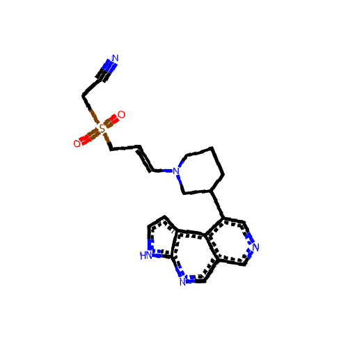 N#CCS(=O)(=O)CC=CN1CCCC(c2cncc3cnc4[nH]ccc4c23)C1